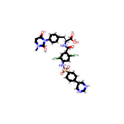 Cn1ccc(=O)n(-c2ccc(C[C@H](NC(=O)c3cc(F)c(NS(=O)(=O)c4ccc(-c5cncnc5)cc4)cc3F)C(=O)O)cc2)c1=O